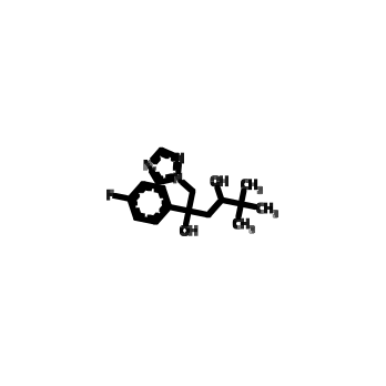 CC(C)(C)C(O)CC(O)(Cn1cncn1)c1ccc(F)cc1